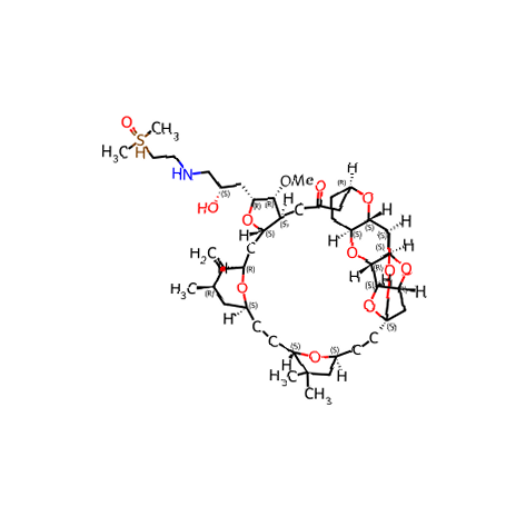 C=C1[C@H](C)C[C@@H]2CC[C@@H]3O[C@@H](CC[C@@]45C[C@H]6O[C@@H]7[C@@H](O4)[C@H]4O[C@H](CC[C@@H]4O[C@H]7[C@H]6O5)CC(=O)C[C@@H]4[C@@H](OC)[C@@H](C[C@H](O)CNCC[SH](C)(C)=O)O[C@H]4C[C@H]1O2)CC3(C)C